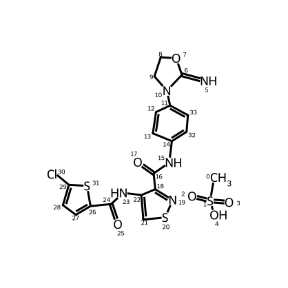 CS(=O)(=O)O.N=C1OCCN1c1ccc(NC(=O)c2nscc2NC(=O)c2ccc(Cl)s2)cc1